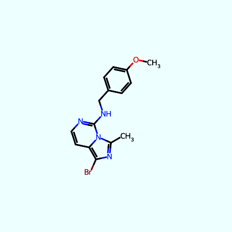 COc1ccc(CNc2nccc3c(Br)nc(C)n23)cc1